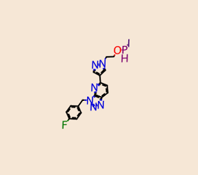 Fc1ccc(Cn2nnc3ccc(-c4cnn(CCOPI)c4)nc32)cc1